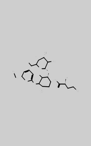 NCC[C@H](O)C(=O)N[C@@H]1C[C@H](N)C(OC2=CC=C[C@@H](CN)O2)C(O)[C@H]1O[C@H]1OC(CO)[C@H](O)[C@H](N)C1O